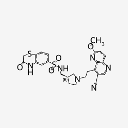 COc1ccc2ncc(C#N)c(CCN3CC[C@@H](CNS(=O)(=O)c4ccc5c(c4)NC(=O)CS5)C3)c2n1